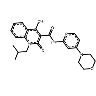 CC(C)Cn1c(=O)c(C(=O)Nc2cc(N3CCOCC3)ccn2)c(O)c2ccccc21